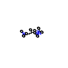 C(=C\c1ccc2c(c1)c1ccccc1n2-c1ccccc1)/C=C(\c1ccccc1)c1cc2c3ccccc3n(-c3nc(-c4ccccc4)c4ccccc4n3)c2c2ccccc12